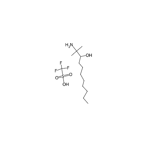 CCCCCCCCC(O)C(C)(C)N.O=S(=O)(O)C(F)(F)F